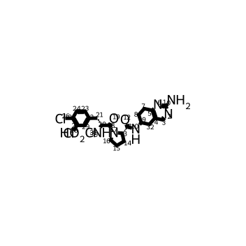 Nc1ncc2c(n1)CCC(NC(=O)[C@@H]1CCCN1C(=O)[C@@H](Cc1ccc(Cl)c(Cl)c1)NC(=O)O)C2